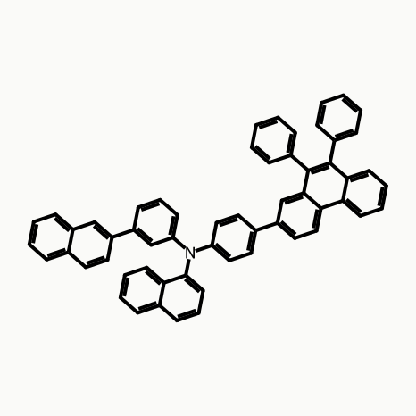 c1ccc(-c2c(-c3ccccc3)c3cc(-c4ccc(N(c5cccc(-c6ccc7ccccc7c6)c5)c5cccc6ccccc56)cc4)ccc3c3ccccc23)cc1